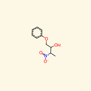 CC(C(O)COc1ccccc1)[N+](=O)[O-]